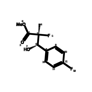 COC(=O)[C@@](C)(F)[C@@H](O)c1ccc(F)cc1